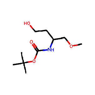 COCC(CCO)NC(=O)OC(C)(C)C